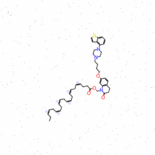 CC/C=C\C/C=C\C/C=C\C/C=C\C/C=C\C/C=C\CCC(=O)OCN1C(=O)CCc2ccc(OCCCCN3CCN(c4cccc5sccc45)CC3)cc21